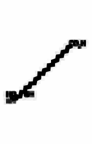 CCCC(O)CCC(O)CCCCCCCCCCCCCCCCCCCCC(=O)O